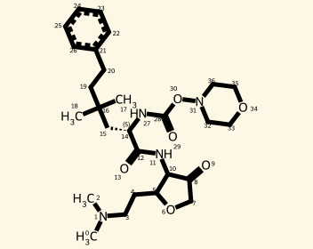 CN(C)CCC1OCC(=O)C1NC(=O)[C@H](CC(C)(C)CCc1ccccc1)NC(=O)ON1CCOCC1